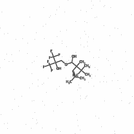 CC(C)=CC(C)(C(O)OCC(O)(C(F)(F)F)C(F)(F)F)C(C)(C)C